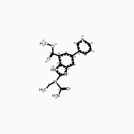 CCN(C(N)=O)c1nc2cc(-c3cccnc3)cc(C(=O)OC)c2[nH]1